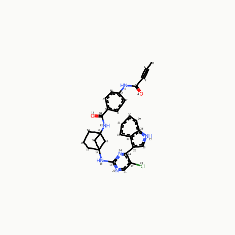 CC#CC(=O)Nc1ccc(C(=O)NC23CCCC(Nc4ncc(Cl)c(-c5c[nH]c6ccccc56)n4)(C2)C3)cc1